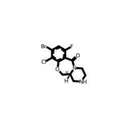 O=C1c2c(F)cc(Br)c(Cl)c2OC[C@H]2CNCCN12